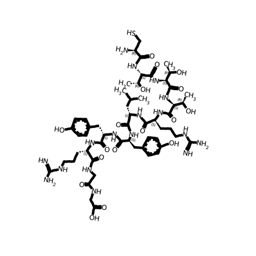 CC(C)C[C@H](NC(=O)[C@H](CCCNC(=N)N)NC(=O)[C@@H](NC(=O)[C@@H](NC(=O)[C@@H](NC(=O)[C@@H](N)CS)[C@@H](C)O)[C@@H](C)O)[C@@H](C)O)C(=O)N[C@@H](Cc1ccc(O)cc1)C(=O)N[C@@H](Cc1ccc(O)cc1)C(=O)N[C@@H](CCCNC(=N)N)C(=O)NCC(=O)NCC(=O)O